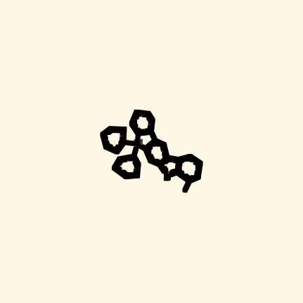 Cc1cccc2c1sc1cc3c(cc12)-c1ccccc1[Si]3(c1ccccc1)c1ccccc1